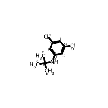 CC(C)(C)Nc1cc(Cl)cc(Cl)c1